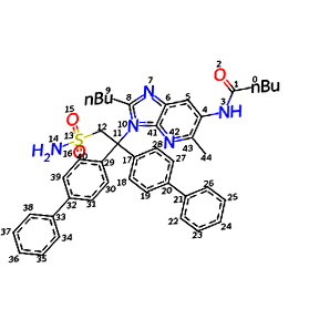 CCCCC(=O)Nc1cc2nc(CCCC)n(C(CS(N)(=O)=O)(c3ccc(-c4ccccc4)cc3)c3ccc(-c4ccccc4)cc3)c2nc1C